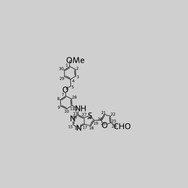 COc1ccc(COc2cccc(Nc3ncnc4cc(-c5ccc(C=O)o5)sc34)c2)cc1